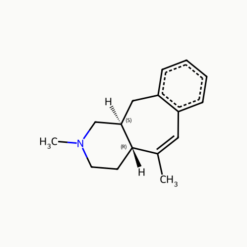 CC1=Cc2ccccc2C[C@@H]2CN(C)CC[C@@H]12